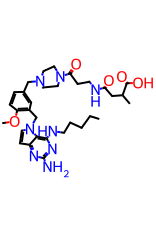 CCCCCNc1nc(N)nc2ccn(Cc3cc(CN4CCN(C(=O)CCNC(=O)CC(C)C(=O)O)CC4)ccc3OC)c12